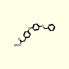 COC(=O)Cc1ccc(Oc2ccc(OCc3ccccc3)cc2)cc1